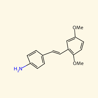 COc1ccc(OC)c(C=Cc2ccc(N)cc2)c1